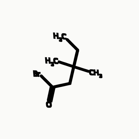 CCC(C)(C)CC(=O)Br